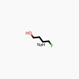 OCCCCF.[NaH]